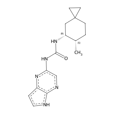 C[C@H]1CCC2(CC2)C[C@H]1NC(=O)Nc1cnc2[nH]ccc2n1